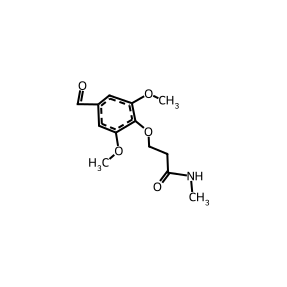 CNC(=O)CCOc1c(OC)cc(C=O)cc1OC